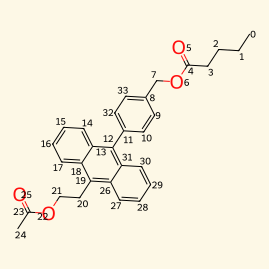 CCCCC(=O)OCc1ccc(-c2c3ccccc3c(CCOC(C)=O)c3ccccc23)cc1